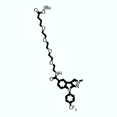 Cn1cc2c3cc(C(=O)NCCOCCOCCOCCOCCCC(=O)OC(C)(C)C)ccc3n(-c3ccc(C(F)(F)F)cc3)c2n1